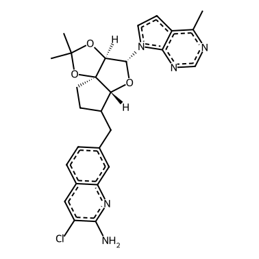 Cc1ncnc2c1ccn2[C@@H]1O[C@@H]2C(Cc3ccc4cc(Cl)c(N)nc4c3)CC[C@@]23OC(C)(C)O[C@@H]13